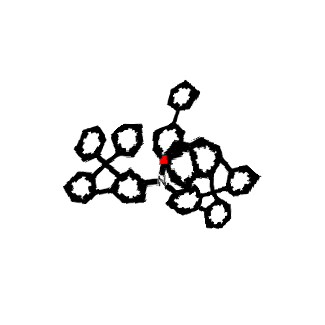 c1ccc(-c2ccc(N(c3ccc4c(c3)C(c3ccccc3)(c3ccccc3)c3ccccc3-4)c3ccc4c(c3)C3(c5ccccc5-4)c4ccccc4-c4ccc5ccccc5c43)cc2)cc1